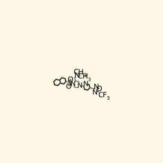 CN(C)CC1CN(c2ccc(-c3noc(C(F)(F)F)n3)cn2)CCN1S(=O)(=O)c1ccc2ccccc2c1